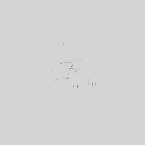 COC1=C(OC)C2(C)CCC1C2(C)C